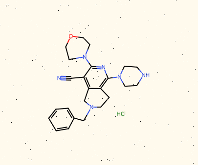 Cl.N#Cc1c(N2CCOCC2)nc(N2CCNCC2)c2c1CN(Cc1ccccc1)CC2